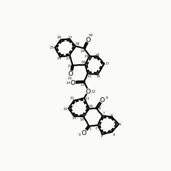 O=C1c2ccccc2C(=O)c2c(OC(=O)c3cccc4c3C(=O)c3ccccc3C4=O)cccc21